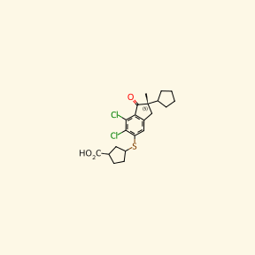 C[C@@]1(C2CCCC2)Cc2cc(SC3CCC(C(=O)O)C3)c(Cl)c(Cl)c2C1=O